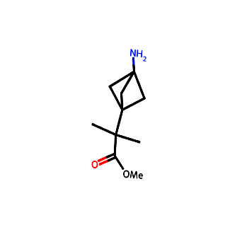 COC(=O)C(C)(C)C12CC(N)(C1)C2